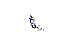 COC(=O)c1ccc2nc(Cc3cn(C)nc3Br)cn2c1